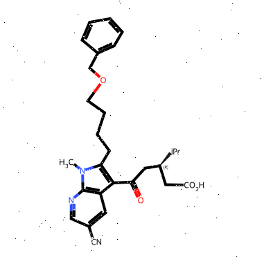 CC(C)[C@@H](CC(=O)O)CC(=O)c1c(CCCCOCc2ccccc2)n(C)c2ncc(C#N)cc12